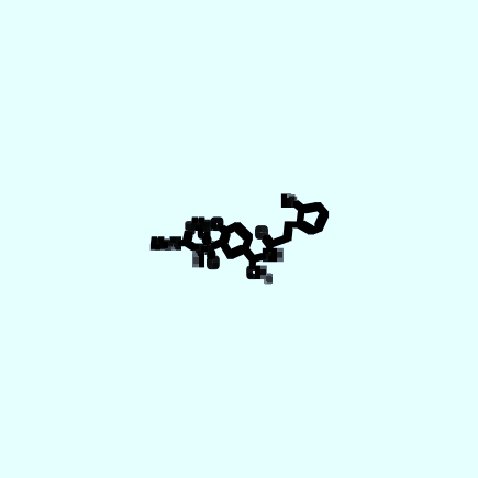 CCc1ccccc1C=CC(=O)NC(C)c1ccc(OC)c(S(=O)(=O)NC(=S)NC)c1